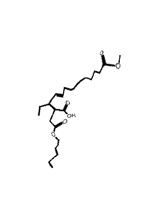 CCCCCOC(=O)CC(C(=O)O)C(/C=C/CCCCCCC(=O)OC)CC